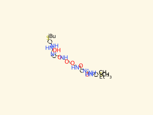 CCC(C)Sc1ccc(NNC(O)C[n+]2cccc(CONCCOCCOCCNC(=O)c3ccc[n+](CC(=O)NNc4ccc(S(C)(C)CC)cc4)c3)c2)cc1